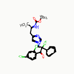 CC(C)(C)OC(=O)N[C@@H](Cc1cn(CC(Cl)(C(=O)c2ccc(Cl)cc2Cl)c2ccccc2)cn1)C(=O)O